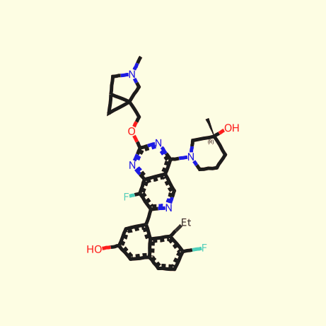 CCc1c(F)ccc2cc(O)cc(-c3ncc4c(N5CCC[C@@](C)(O)C5)nc(OCC56CC5CN(C)C6)nc4c3F)c12